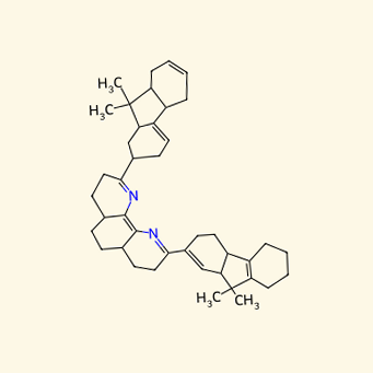 CC1(C)C2=C(CCCC2)C2CCC(C3=NC4=C5N=C(C6CC=C7C8CC=CCC8C(C)(C)C7C6)CCC5CCC4CC3)=CC21